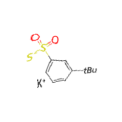 CC(C)(C)c1cccc(S(=O)(=O)[S-])c1.[K+]